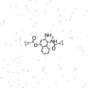 Nc1cc(OC(=O)C2CC2)c2ccccc2c1NC(=O)C1CC1